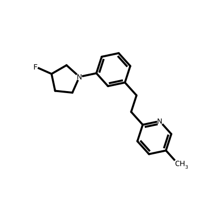 Cc1ccc(CCc2cccc(N3CCC(F)C3)c2)nc1